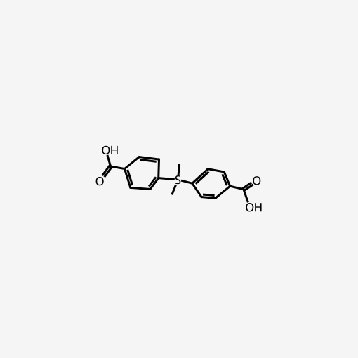 CS(C)(c1ccc(C(=O)O)cc1)c1ccc(C(=O)O)cc1